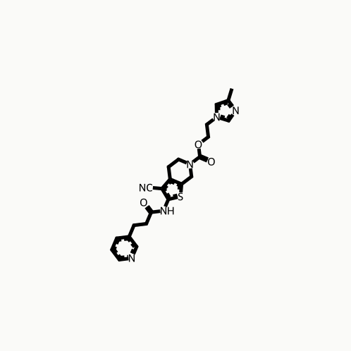 Cc1cn(CCOC(=O)N2CCc3c(sc(NC(=O)CCc4cccnc4)c3C#N)C2)cn1